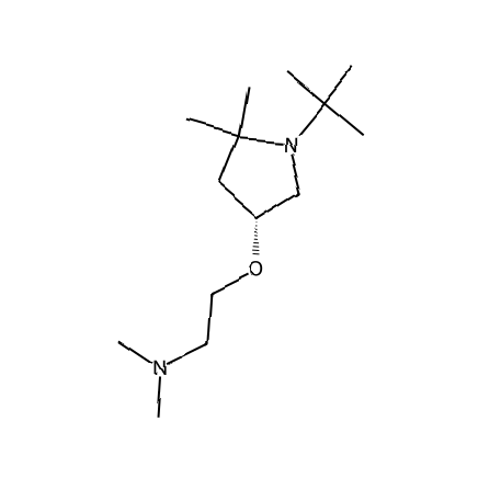 CN(C)CCO[C@H]1CN(C(C)(C)C)C(C)(C)C1